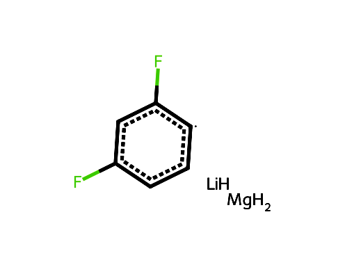 Fc1[c]ccc(F)c1.[LiH].[MgH2]